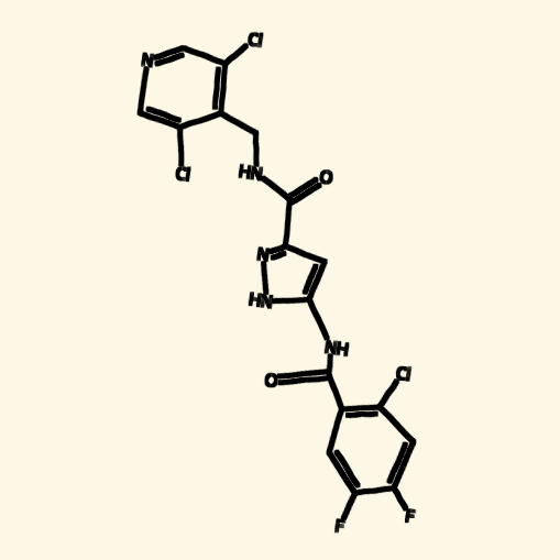 O=C(NCc1c(Cl)cncc1Cl)c1cc(NC(=O)c2cc(F)c(F)cc2Cl)[nH]n1